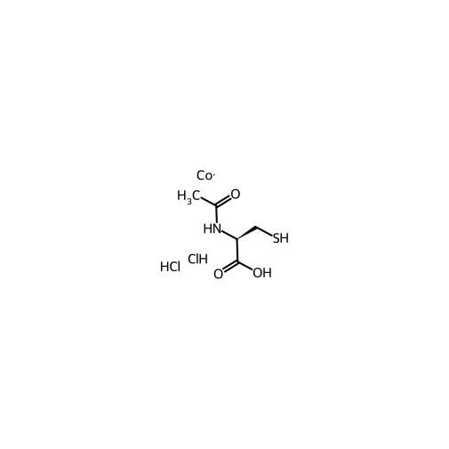 CC(=O)N[C@@H](CS)C(=O)O.Cl.Cl.[Co]